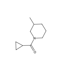 CC1CCCN(C(=O)C2CC2)C1